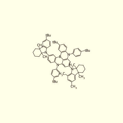 Cc1cc(C)c2c(c1)C1(C)CCCCC1(C)N2c1cc2c3c(c1)N(c1ccc(C(C)(C)C)cc1)c1ccc(C(C)(C)C)cc1B3c1cc(N3c4ccc(C(C)(C)C)cc4C4(C)CCCCC34C)ccc1N2c1ccc(C(C)(C)C)cc1